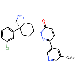 COc1cncc(-c2ccc(=O)n([C@H]3CC[C@](CN)(c4cccc(Cl)c4)CC3)n2)c1